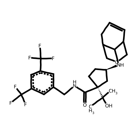 CC(C)(O)[C@]1(C(=O)NCc2cc(C(F)(F)F)cc(C(F)(F)F)c2)CC[C@@H](NC2C3C=CCC2COC3)C1